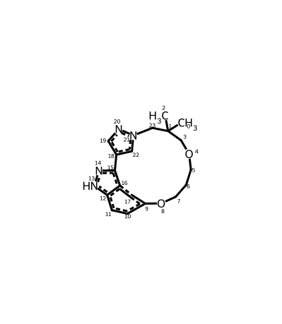 CC1(C)COCCCOc2ccc3[nH]nc(c3c2)-c2cnn(c2)C1